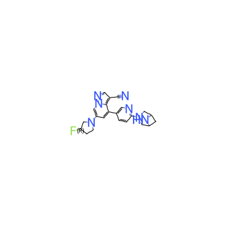 N#Cc1cnn2cc(N3CC[C@@H](F)C3)cc(-c3ccc(N4CC5CC(C4)N5)nc3)c12